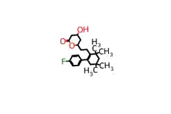 CC1(C)CC(c2ccc(F)cc2)=C(CCC2CC(O)CC(=O)O2)C(C)(C)C1